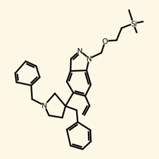 C=Cc1cc2c(cnn2COCC[Si](C)(C)C)cc1C1(Cc2ccccc2)CCN(Cc2ccccc2)C1